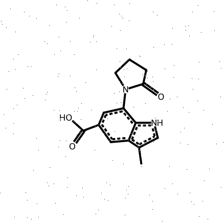 Cc1c[nH]c2c(N3CCCC3=O)cc(C(=O)O)cc12